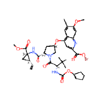 C=C[C@@H]1C[C@]1(NC(=O)[C@@H]1C[C@@H](Oc2cc(C(=O)OBr)nc3cc(OC)c(C)cc23)CN1C(=O)[C@@H](NC(=O)OC1CCCC1)C(C)(C)C)C(=O)OC